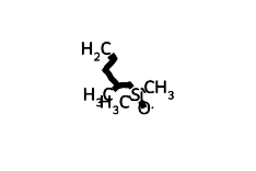 C=CCC(C)C[Si](C)(C)[O]